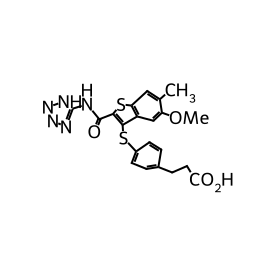 COc1cc2c(Sc3ccc(CCC(=O)O)cc3)c(C(=O)Nc3nnn[nH]3)sc2cc1C